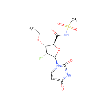 CCO[C@H]1[C@@H](F)[C@H](n2ccc(=O)[nH]c2=O)O[C@@H]1C(=O)NS(C)(=O)=O